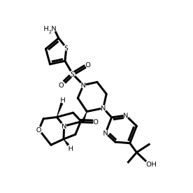 CC(C)(O)c1cnc(N2CCN(S(=O)(=O)c3ccc(N)s3)C[C@@H]2CN2[C@@H]3COC[C@H]2CC(=O)C3)nc1